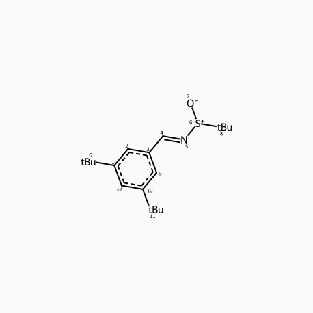 CC(C)(C)c1cc(/C=N/[S+]([O-])C(C)(C)C)cc(C(C)(C)C)c1